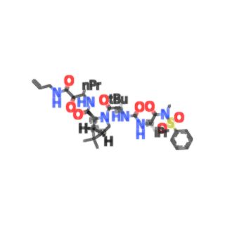 C=CCNC(=O)C(=O)C(CCC)NC(=O)[C@@H]1[C@@H]2[C@H](CN1C(=O)[C@@H](NC(=O)N[C@H](C(=O)N(C)S(=O)(=O)c1ccccc1)C(C)C)C(C)(C)C)C2(C)C